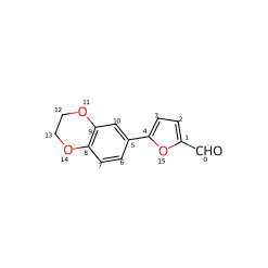 O=Cc1ccc(-c2ccc3c(c2)OCCO3)o1